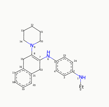 CCNc1ccc(NC2=C(N3CCCCC3)Cc3ccccc3C2)cc1